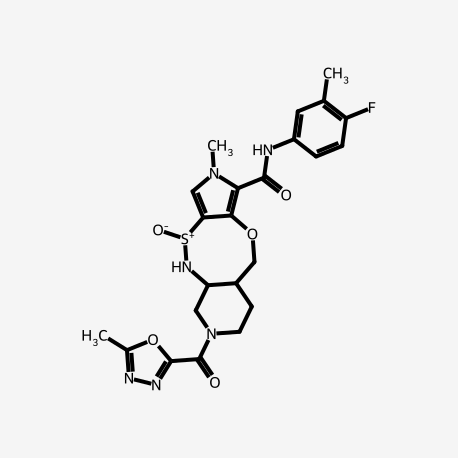 Cc1nnc(C(=O)N2CCC3COc4c(cn(C)c4C(=O)Nc4ccc(F)c(C)c4)[S+]([O-])NC3C2)o1